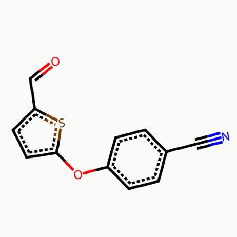 N#Cc1ccc(Oc2ccc(C=O)s2)cc1